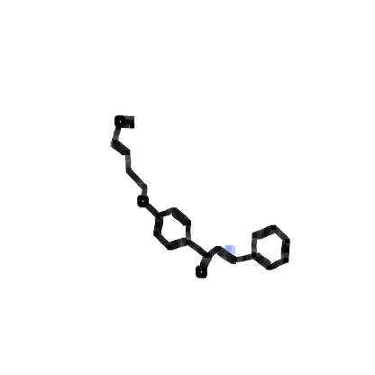 O=C(/C=C/c1ccccc1)c1ccc(OCCC=CO)cc1